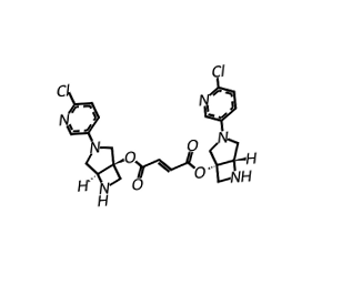 O=C(/C=C/C(=O)O[C@@]12CN[C@H]1CN(c1ccc(Cl)nc1)C2)O[C@@]12CN[C@H]1CN(c1ccc(Cl)nc1)C2